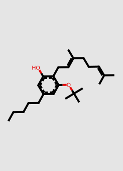 CCCCCc1cc(O)c(C/C=C(\C)CCC=C(C)C)c(OC(C)(C)C)c1